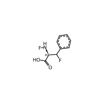 O=C(O)[C@@H](NF)C(F)c1ccccc1